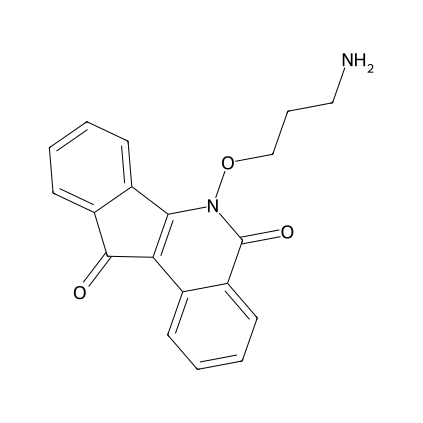 NCCCOn1c2c(c3ccccc3c1=O)C(=O)c1ccccc1-2